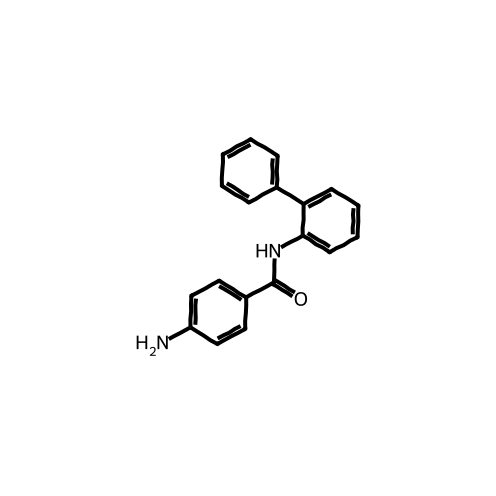 Nc1ccc(C(=O)Nc2ccccc2-c2ccccc2)cc1